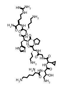 N=C(N)NCC/C=C(\NC(=O)[C@H](CCCCN)NC(=O)[C@H](Cc1cnc[nH]1)NC(=O)[C@@H]1CCCN1C(=O)[C@@H](CCCN)NC(=O)CNC(=O)C(NC(=O)[C@@H](NC(=O)[C@@H](N)CCCCN)[C@@H](O)CN)C1CC1)C(N)=O